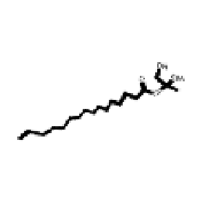 CCCCCCCCCCCCCCCC(=O)OC(C)(O)CO